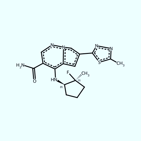 Cc1nnc(-c2cc3c(N[C@@H]4CCC[C@]4(C)F)c(C(N)=O)cnn3c2)s1